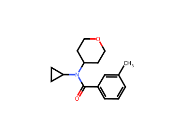 Cc1cccc(C(=O)N(C2CCOCC2)C2CC2)c1